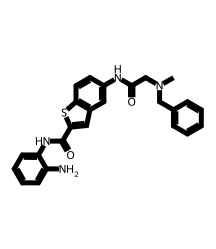 CN(CC(=O)Nc1ccc2sc(C(=O)Nc3ccccc3N)cc2c1)Cc1ccccc1